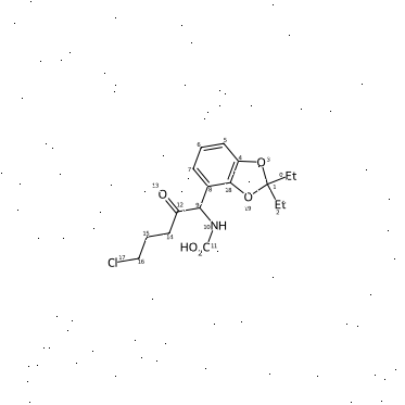 CCC1(CC)Oc2cccc(C(NC(=O)O)C(=O)CCCCl)c2O1